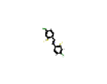 Sc1cc(Cl)ccc1/C=C/c1ccc(Cl)cc1S